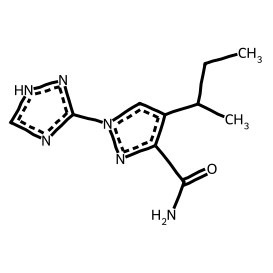 CCC(C)c1cn(-c2nc[nH]n2)nc1C(N)=O